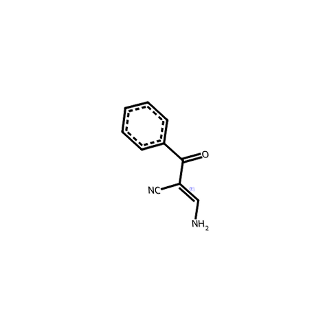 N#C/C(=C\N)C(=O)c1ccccc1